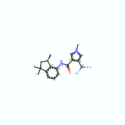 C[C@@H]1CC(C)(C)c2cccc(NC(=O)c3cn(C)cc3C(F)F)c21